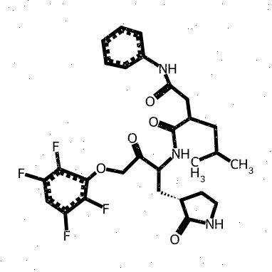 CC(C)CC(CC(=O)Nc1ccccc1)C(=O)NC(C[C@@H]1CCNC1=O)C(=O)COc1c(F)c(F)cc(F)c1F